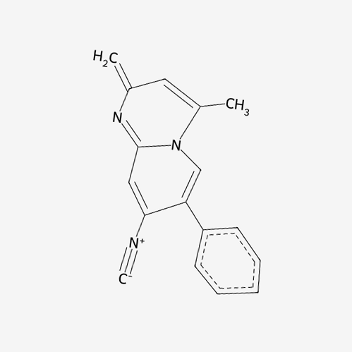 [C-]#[N+]C1=CC2=NC(=C)C=C(C)N2C=C1c1ccccc1